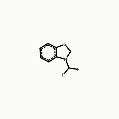 FC(F)N1CSc2ccccc21